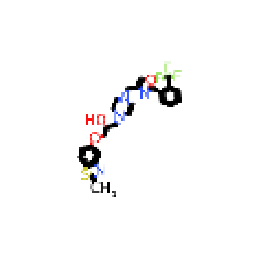 Cc1nc2cc(OCC(O)CN3CCN(Cc4coc(-c5ccccc5C(F)(F)F)n4)CC3)ccc2s1